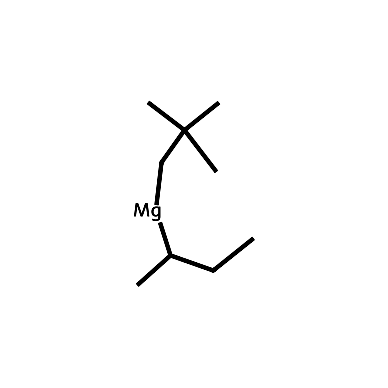 CC[CH](C)[Mg][CH2]C(C)(C)C